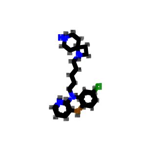 Clc1ccc2c(c1)N(CCCCCN1CCC13CCNCC3)c1ncccc1S2